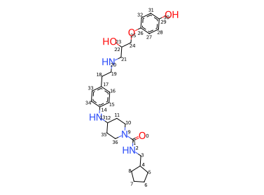 O=C(NCC1CCCC1)N1CCC(Nc2ccc(CCNCC(O)COc3ccc(O)cc3)cc2)CC1